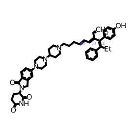 C=CC(=C\C=C\CCCN1CCC(N2CCN(c3ccc4c(c3)CN(C3CCC(=O)NC3=O)C4=O)CC2)CC1)/C(=C(/CC)c1ccccc1)c1ccc(O)cc1